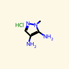 Cl.Cn1ncc(N)c1N